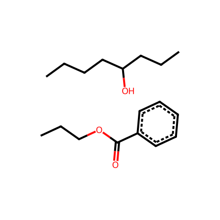 CCCCC(O)CCC.CCCOC(=O)c1ccccc1